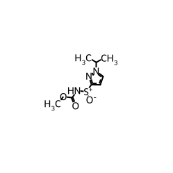 COC(=O)N[S+]([O-])c1ccn(C(C)C)n1